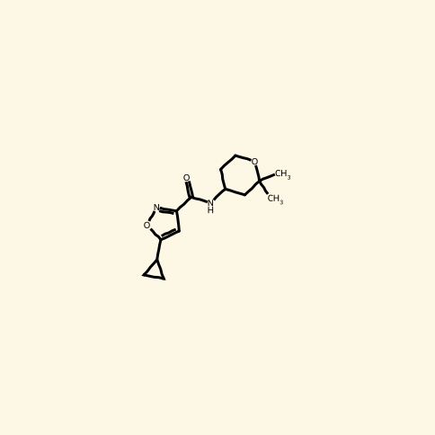 CC1(C)CC(NC(=O)c2cc(C3CC3)on2)CCO1